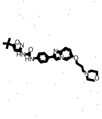 CC(C)(C)c1cc(NC(=O)Nc2ccc(-c3cn4cc(OCCCN5CCOCC5)ccc4n3)cc2)no1